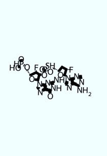 Nc1nc2c(ncn2[C@@H]2O[C@H](CO[PH](=O)O)[C@H](F)C2O[P@](=O)(S)OC[C@@H]2C[C@H](F)[C@H](n3cnc4c(N)ncnc43)O2)c(=O)[nH]1